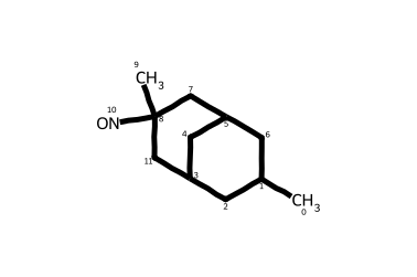 CC1CC2CC(C1)CC(C)(N=O)C2